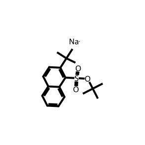 CC(C)(C)OS(=O)(=O)c1c(C(C)(C)C)ccc2ccccc12.[Na]